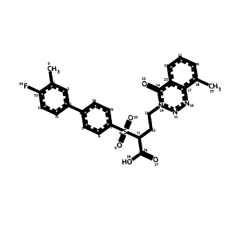 Cc1cc(-c2ccc(S(=O)(=O)C(CCn3nnc4c(C)cccc4c3=O)C(=O)O)cc2)ccc1F